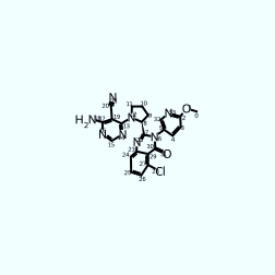 COc1ccc(-n2c([C@@H]3CCCN3c3ncnc(N)c3C#N)nc3cccc(Cl)c3c2=O)cn1